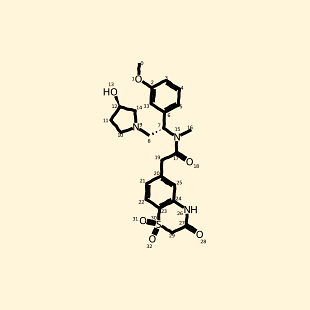 COc1cccc([C@@H](CN2CC[C@@H](O)C2)N(C)C(=O)Cc2ccc3c(c2)NC(=O)CS3(=O)=O)c1